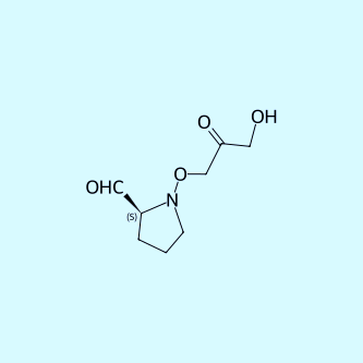 O=C[C@@H]1CCCN1OCC(=O)CO